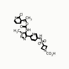 C[C@@H](OC(=O)Nc1c(-c2ccc(NS(=O)(=O)C3CN(C(=O)O)C3)cn2)nnn1C)c1cccnc1Cl